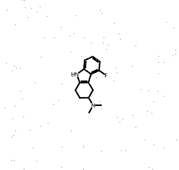 CN(C)C1CCc2[nH]c3cccc(F)c3c2C1